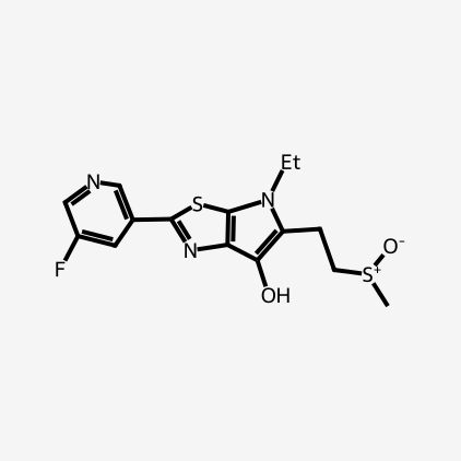 CCn1c(CC[S+](C)[O-])c(O)c2nc(-c3cncc(F)c3)sc21